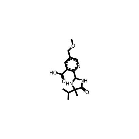 COCc1cnc(C2NC(=O)C(C)(C(C)C)N2)c(C(=O)O)c1